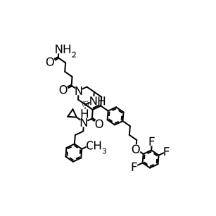 Cc1ccccc1CCN(C(=O)C1=C(c2ccc(CCCOc3c(F)ccc(F)c3F)cc2)CC2CN(C(=O)CCCC(N)=O)C[C@H]1N2)C1CC1